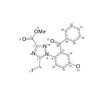 COC(=O)c1nc(CI)n(-c2ccc(Cl)cc2C(=O)c2ccccc2)n1